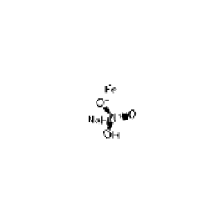 O=[N+]([O-])O.[Fe].[NaH]